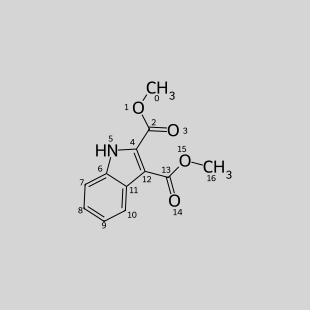 COC(=O)c1[nH]c2ccccc2c1C(=O)OC